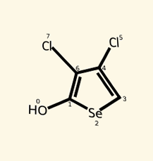 Oc1[se]cc(Cl)c1Cl